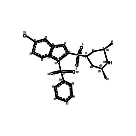 C[C@@H]1CN(S(=O)(=O)c2cc3cc(Cl)ccc3n2S(=O)(=O)c2ccccc2)C[C@H](C)N1